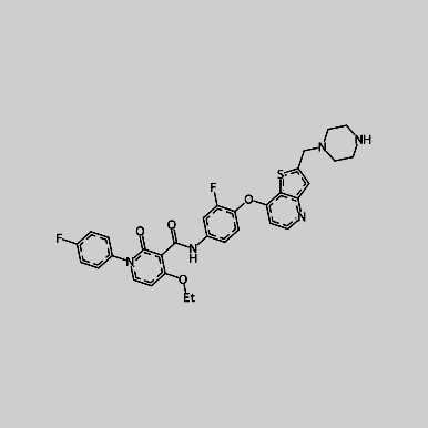 CCOc1ccn(-c2ccc(F)cc2)c(=O)c1C(=O)Nc1ccc(Oc2ccnc3cc(CN4CCNCC4)sc23)c(F)c1